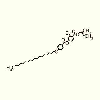 CCCCCCCCCCCCCCCCCCOc1ccc(C(=O)Oc2ccc(C(=O)OC[C@@H](C)CC)c(Cl)c2)cc1